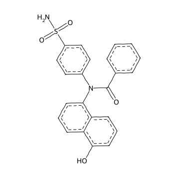 NS(=O)(=O)c1ccc(N(C(=O)c2ccccc2)c2cccc3c(O)cccc23)cc1